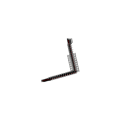 O=S(=O)(O)O.O=S(=O)(O)O.O=S(=O)(O)O.O=S(=O)(O)O.O=S(=O)(O)O.O=S(=O)(O)O.O=S(=O)(O)O.O=S(=O)(O)O.O=S(=O)(O)O.O=S(=O)(O)O.O=S(=O)(O)O.O=S(=O)(O)O.O=S(=O)(O)O.O=S(=O)(O)O.O=S(=O)(O)O.O=S(=O)(O)O.O=S(=O)([O-])O.O=S(=O)([O-])[O-].O=S(=O)([O-])[O-].O=S(=O)([O-])[O-].O=S(=O)([O-])[O-].O=S(=O)([O-])[O-].O=S(=O)([O-])[O-].O=S(=O)([O-])[O-].O=S(=O)([O-])[O-].O=S(=O)([O-])[O-].[Na+].[Na+].[Na+].[Na+].[Na+].[Na+].[Na+].[Na+].[Na+].[Na+].[Na+].[Na+].[Na+].[Na+].[Na+].[Na+].[Na+].[Na+].[Na+]